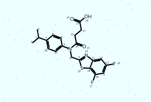 CC(C)c1ccc(N(Cc2nc3cc(F)cc(F)c3s2)C(=O)CCC(=O)O)cc1